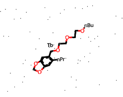 CCCCOCCOCCOCc1cc2c(cc1CCC)OCO2.[Tb]